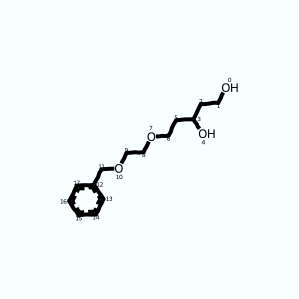 OCCC(O)CCOCCOCc1ccccc1